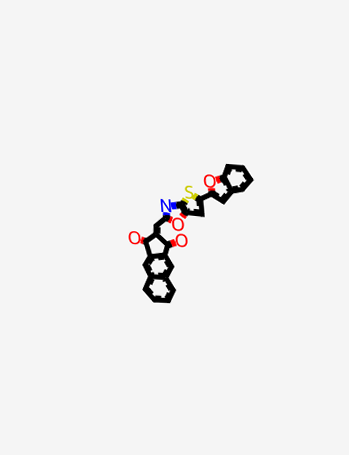 O=C1C(=Cc2nc3sc(-c4cc5ccccc5o4)cc3o2)C(=O)c2cc3ccccc3cc21